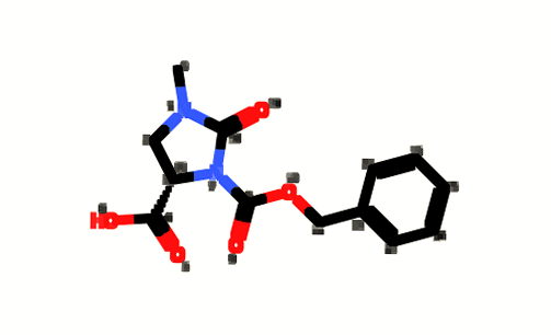 CN1C[C@@H](C(=O)O)N(C(=O)OCc2ccccc2)C1=O